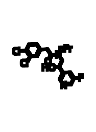 CCCN(CC(O)c1cncc(F)c1)C(=O)Cc1ccc(Cl)c(Cl)c1